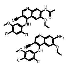 CCOc1cc2c(Nc3cc(OC)c(Cl)cc3Cl)c(C#N)cnc2cc1N.CCOc1cc2c(Nc3cc(OC)c(Cl)cc3Cl)c(C#N)cnc2cc1NC(C)=O